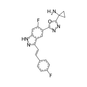 NC1(c2nnc(-c3cc4c(C=Cc5ccc(F)cc5)n[nH]c4cc3F)o2)CC1